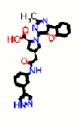 Cc1nc(N2C[C@@H](CC(=O)Nc3cccc(-c4cn[nH]c4)c3)C[C@H]2C(=O)O)c2oc3ccccc3c2n1